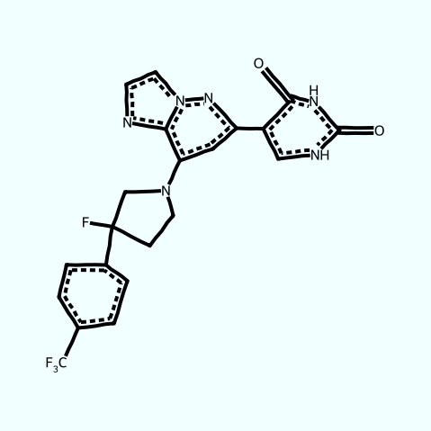 O=c1[nH]cc(-c2cc(N3CCC(F)(c4ccc(C(F)(F)F)cc4)C3)c3nccn3n2)c(=O)[nH]1